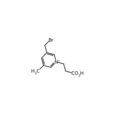 Cc1cc(CBr)c[n+](CCC(=O)O)c1